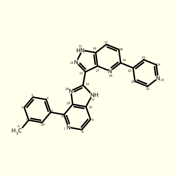 Cc1cccc(-c2nccc3[nH]c(-c4n[nH]c5ccc(-c6ccncc6)nc45)nc23)c1